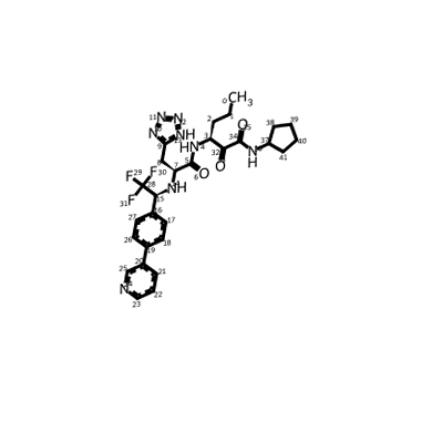 CCC[C@H](NC(=O)[C@H](Cc1nnn[nH]1)N[C@@H](c1ccc(-c2cccnc2)cc1)C(F)(F)F)C(=O)C(=O)NC1CCCC1